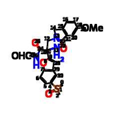 C=S(C)(=O)c1ccc2oc([C@@](N)(CN3Cc4ccc(OC)cc4C3=O)C(=O)NC=O)cc2c1